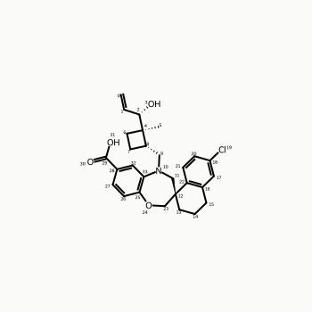 C=C[C@H](O)[C@]1(C)CC[C@H]1CN1C[C@@]2(CCCc3cc(Cl)ccc32)COc2ccc(C(=O)O)cc21